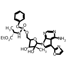 CCOC(=O)[C@H](C)NP(=O)(OCC1OC(n2cc(-c3ncco3)c3c(N)ncnc32)[C@](C)(O)[C@@H]1O)Oc1ccccc1